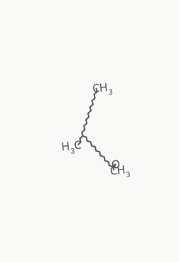 CCCCCCCCCCCCCCCC(CCC)CCCCCCCCCCCCC(C)=O